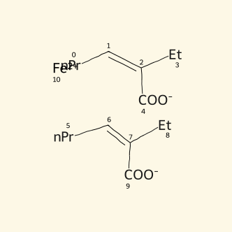 CCCC=C(CC)C(=O)[O-].CCCC=C(CC)C(=O)[O-].[Fe+2]